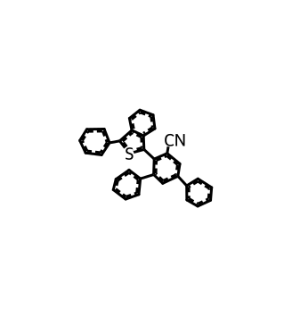 N#Cc1cc(-c2ccccc2)cc(-c2ccccc2)c1-c1sc(-c2ccccc2)c2ccccc12